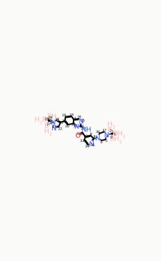 BC(B)(B)N1CCN(c2cc(C(=O)Nc3ncc4ccc(-c5cnn(C(B)(B)B)c5)cc4n3)ccn2)CC1